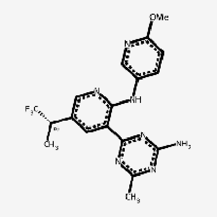 COc1ccc(Nc2ncc([C@H](C)C(F)(F)F)cc2-c2nc(C)nc(N)n2)cn1